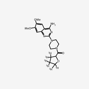 [2H]C1([2H])OC(C(=O)N2CCN(c3nc(N)c4cc(OC)c(OC)cc4n3)CC2)C([2H])([2H])C1([2H])[2H]